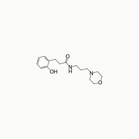 O=C(CCc1ccccc1O)NCCCN1CCOCC1